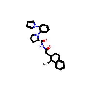 N#CC1c2ccccc2CCC1CC(=O)NC(=O)[C@@H]1CCCN1c1ccccc1-n1cccc1